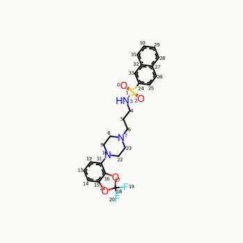 O=S(=O)(NCCCN1CCN(c2cccc3c2OC(F)(F)O3)CC1)c1ccc2ccccc2c1